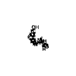 Cc1nc(N2C[C@H]3C[C@@H]2CO3)cc(-n2ncc3cc(C)c([C@H]4CCN(CCO)C[C@H]4F)cc32)n1